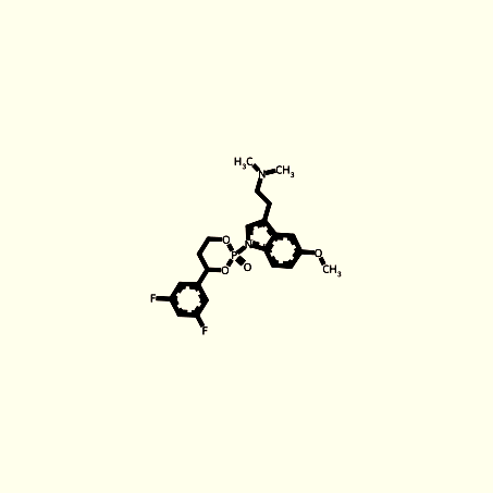 COc1ccc2c(c1)c(CCN(C)C)cn2P1(=O)OCCC(c2cc(F)cc(F)c2)O1